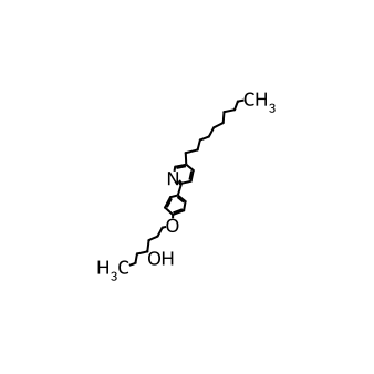 CCCCCCCCCCc1ccc(-c2ccc(OCCC[C@@H](O)CCC)cc2)nc1